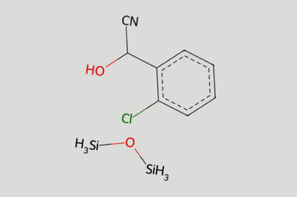 N#CC(O)c1ccccc1Cl.[SiH3]O[SiH3]